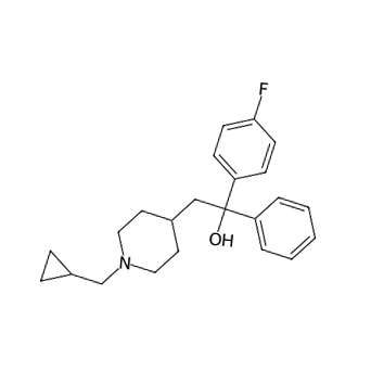 OC(CC1CCN(CC2CC2)CC1)(c1ccccc1)c1ccc(F)cc1